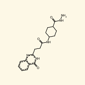 NNC(=O)C1CCC(NC(=O)CCc2nc3ccccc3c(=O)[nH]2)CC1